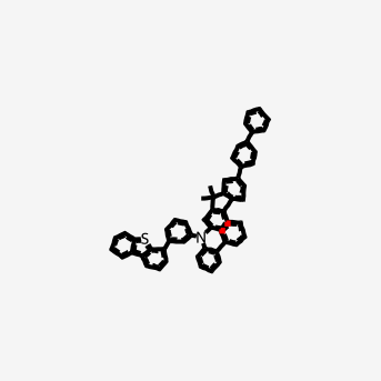 CC1(C)c2cc(-c3ccc(-c4ccccc4)cc3)ccc2-c2ccc(N(c3cccc(-c4cccc5c4sc4ccccc45)c3)c3ccccc3-c3ccccc3)cc21